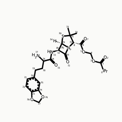 CC(C)C(=O)OCOC(=O)[C@@H]1N2C(=O)[C@@H](NC(=O)C(N)CCc3ccc4c(c3)OCO4)[C@H]2SC1(C)C